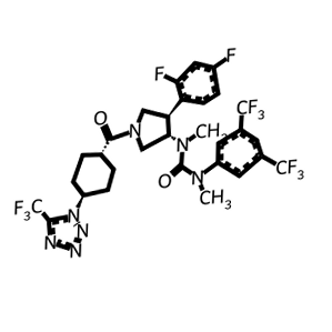 CN(C(=O)N(C)[C@@H]1CN(C(=O)[C@H]2CC[C@H](n3nnnc3C(F)(F)F)CC2)C[C@H]1c1ccc(F)cc1F)c1cc(C(F)(F)F)cc(C(F)(F)F)c1